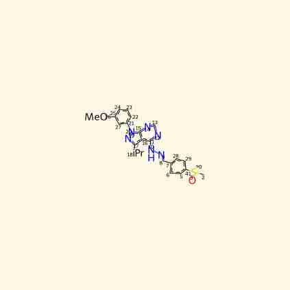 C=S(C)(=O)c1ccc(/C=N/Nc2ncnc3c2c(C(C)C)nn3-c2cccc(OC)c2)cc1